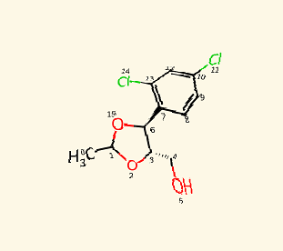 CC1O[C@@H](CO)[C@H](c2ccc(Cl)cc2Cl)O1